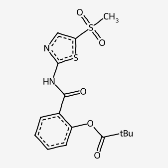 CC(C)(C)C(=O)Oc1ccccc1C(=O)Nc1ncc(S(C)(=O)=O)s1